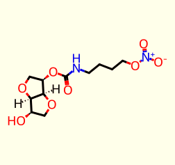 O=C(NCCCCO[N+](=O)[O-])O[C@@H]1CO[C@H]2[C@@H]1OC[C@H]2O